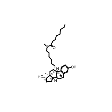 C=C[C@@]12CCc3cc(O)ccc3[C@H]1[C@@H](CCCCCCN(C)C(=O)CCCCCCC)C[C@@]1(C)[C@H]2CC[C@@H]1O